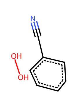 N#Cc1ccccc1.OO